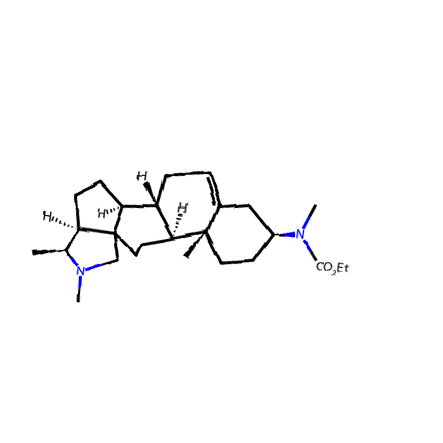 CCOC(=O)N(C)[C@H]1CC[C@@]2(C)C(=CC[C@H]3[C@@H]4CC[C@@H]5[C@H](C)N(C)CC54CC[C@@H]32)C1